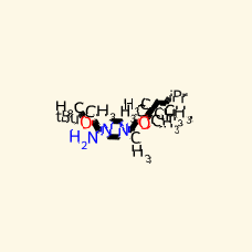 CC(C)C(C)CC(C)(C)C(C)(C)OCC(C)N1CCN(C(N)COC(C)(C)C(C)(C)C)CC1